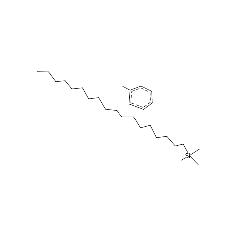 CCCCCCCCCCCCCCCCCC[Si](C)(C)C.Cc1ccccc1